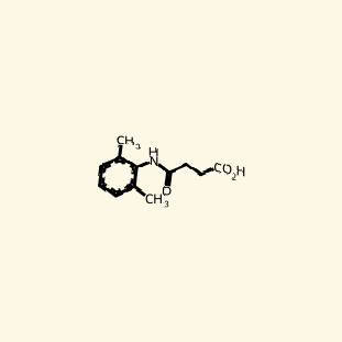 Cc1cccc(C)c1NC(=O)CCC(=O)O